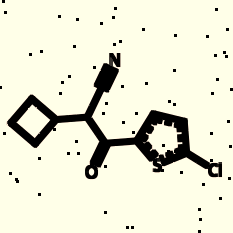 N#CC(C(=O)c1ccc(Cl)s1)C1CCC1